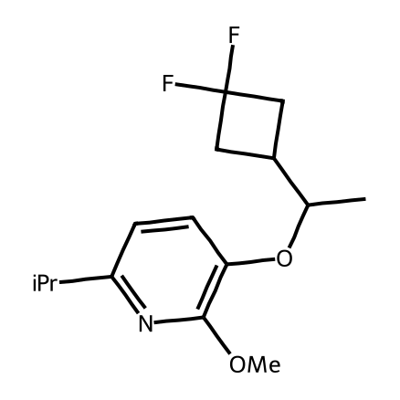 COc1nc(C(C)C)ccc1OC(C)C1CC(F)(F)C1